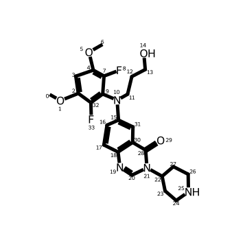 COc1cc(OC)c(F)c(N(CCCO)c2ccc3ncn(C4CCNCC4)c(=O)c3c2)c1F